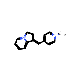 C[n+]1ccc(C=C2CC[n+]3ccccc32)cc1